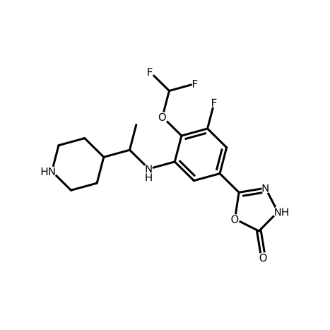 CC(Nc1cc(-c2n[nH]c(=O)o2)cc(F)c1OC(F)F)C1CCNCC1